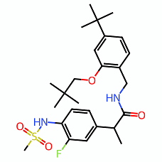 CC(C(=O)NCc1ccc(C(C)(C)C)cc1OCC(C)(C)C)c1ccc(NS(C)(=O)=O)c(F)c1